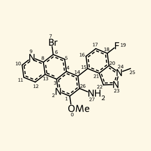 COc1nc2c(cc(Br)c3ncccc32)c(-c2ccc(F)c3c2cnn3C)c1N